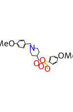 COc1ccc(CN2CCC(C(=O)OS(=O)(=O)c3ccc(OC)cc3)CC2)cc1